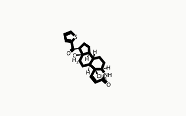 C[C@]12C=CC(=O)N[C@@H]1CC[C@@H]1[C@@H]2CC[C@]2(C)[C@@H](C(=O)c3cccs3)CC[C@@H]12